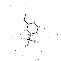 CCC1CCC[C@@H](C(F)(F)F)C1